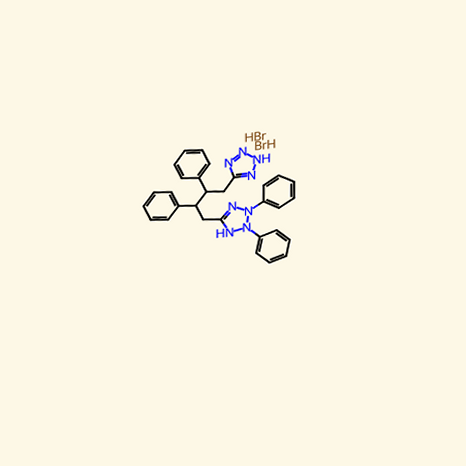 Br.Br.c1ccc(C(CC2=NN(c3ccccc3)N(c3ccccc3)N2)C(Cc2nn[nH]n2)c2ccccc2)cc1